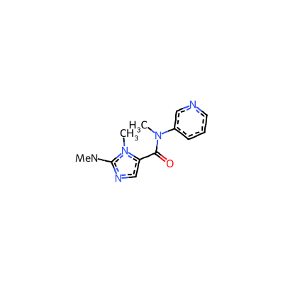 CNc1ncc(C(=O)N(C)c2cccnc2)n1C